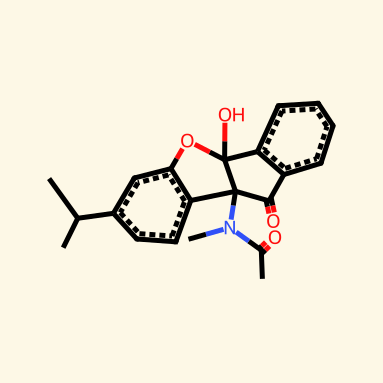 CC(=O)N(C)C12C(=O)c3ccccc3C1(O)Oc1cc(C(C)C)ccc12